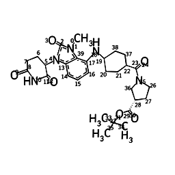 Cn1c(=O)n(C2CCC(=O)NC2=O)c2cccc(NC3CCC(C(=O)N4CC[C@H](C(=O)OC(C)(C)C)C4)CC3)c21